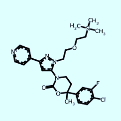 CC1(c2ccc(Cl)c(F)c2)CCN(c2cc(-c3ccncc3)nn2CCOCC[Si](C)(C)C)C(=O)O1